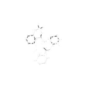 NC1=NS(=O)(=O)Nc2cccc(OC[C@H]3CCCCN3C(=O)Cc3ncccn3)c21